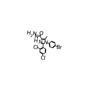 Cc1c(C(=O)NN)nc(-c2ccc(Cl)cc2Cl)n1-c1ccc(Br)cc1